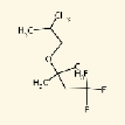 CC(C)COC(C)(C)CC(F)(F)F